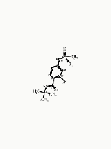 CC(C)(C)NC(=O)c1ccc(NS(C)(=O)=O)cc1F